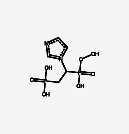 O=P(O)(O)CC(n1ccnc1)P(=O)(O)OO